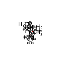 Cc1nc2ccccc2n1[C@H]1C[C@H]2CC[C@@H](C1)N2CCC(CNS(C)(=O)=O)c1ccccc1